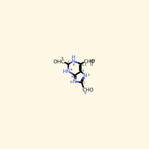 O=CC1=NC2=C(C=O)NC(C=O)NC2=N1.[H+]